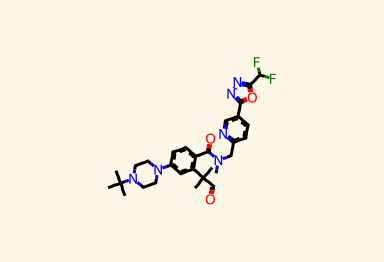 CN(Cc1ccc(-c2nnc(C(F)F)o2)cn1)C(=O)c1ccc(N2CCN(C(C)(C)C)CC2)cc1C(C)(C)C=O